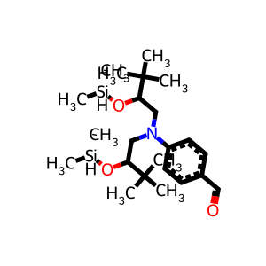 C[SiH](C)OC(CN(CC(O[SiH](C)C)C(C)(C)C)c1ccc(C=O)cc1)C(C)(C)C